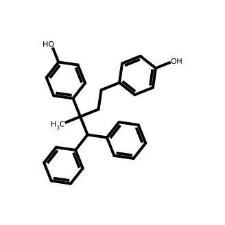 CC(CCc1ccc(O)cc1)(c1ccc(O)cc1)C(c1ccccc1)c1ccccc1